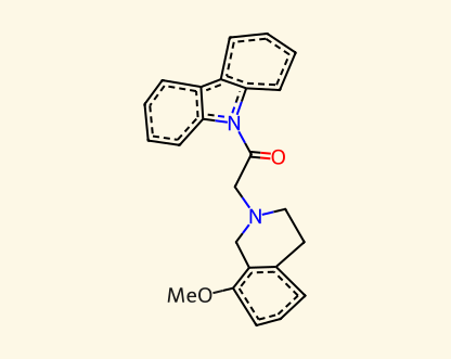 COc1cccc2c1CN(CC(=O)n1c3ccccc3c3ccccc31)CC2